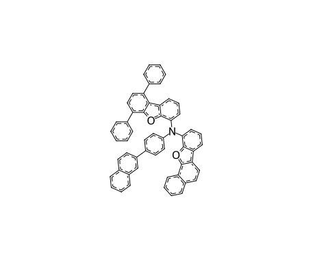 c1ccc(-c2ccc(-c3ccccc3)c3c2oc2c(N(c4ccc(-c5ccc6ccccc6c5)cc4)c4cccc5c4oc4c6ccccc6ccc54)cccc23)cc1